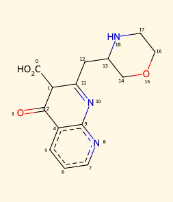 O=C(O)C1C(=O)c2cccnc2N=C1CC1COCCN1